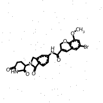 COc1cc(Br)cc2c1OCC(C(=O)Nc1ccc3c(c1)CN(C1CCC(=O)NC1=O)C3=O)=C2